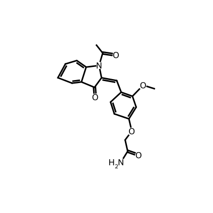 COc1cc(OCC(N)=O)ccc1C=C1C(=O)c2ccccc2N1C(C)=O